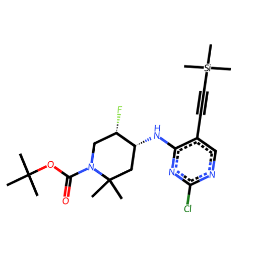 CC(C)(C)OC(=O)N1C[C@H](F)[C@H](Nc2nc(Cl)ncc2C#C[Si](C)(C)C)CC1(C)C